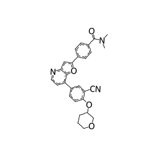 CN(C)C(=O)c1ccc(-c2cc3nccc(-c4ccc(OC5CCCOC5)c(C#N)c4)c3o2)cc1